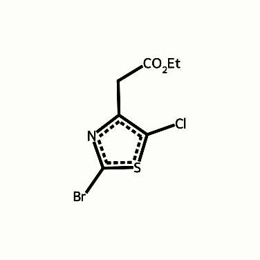 CCOC(=O)Cc1nc(Br)sc1Cl